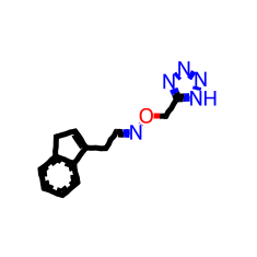 C(CC1=CCc2ccccc21)=NOCc1nnn[nH]1